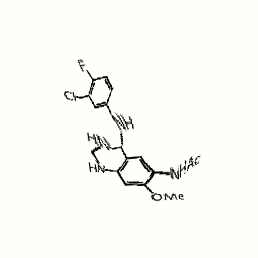 COc1cc2c(cc1NC(C)=O)C(Nc1ccc(F)c(Cl)c1)NCN2